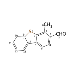 Cc1c(C=O)ccc2c1sc1ccccc12